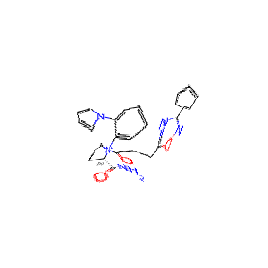 NC(=O)[C@@H]1CCC[N+]1(C(=O)CCc1nc(-c2ccccc2)no1)c1ccccc1-n1cccc1